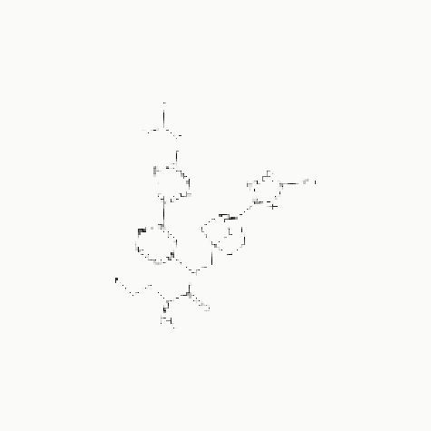 C=C(CCF)C(=O)N(CC12CCC(c3noc(C(C)(C)C)n3)=C(C1)C2)c1cncc(-c2ncc(OC(F)F)cn2)c1